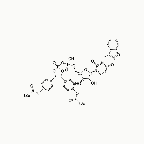 CC(C)(C)C(=O)Oc1ccc(COP(=O)(OCc2ccc(OC(=O)C(C)(C)C)cc2)OP(=O)(O)OC[C@H]2O[C@@H](n3ccc(=O)n(Cc4noc5ccccc45)c3=O)C(O)[C@H]2O)cc1